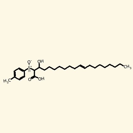 CCCCCCCCC=CCCCCCCCC(O)C(C(=O)O)[S@@+]([O-])c1ccc(C)cc1